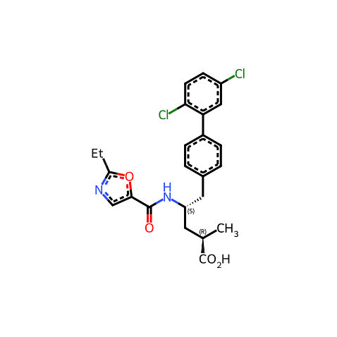 CCc1ncc(C(=O)N[C@H](Cc2ccc(-c3cc(Cl)ccc3Cl)cc2)C[C@@H](C)C(=O)O)o1